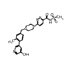 Cc1cc(CN2CCN(c3ccc(C(=O)NS(C)(=O)=O)nn3)CC2)ccc1-c1cncc(O)c1